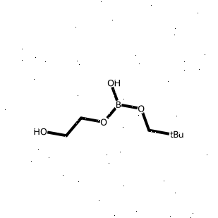 CC(C)(C)COB(O)OCCO